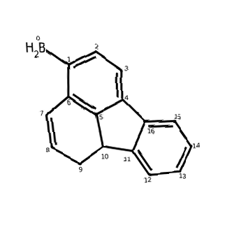 Bc1ccc2c3c1C=CCC3c1ccccc1-2